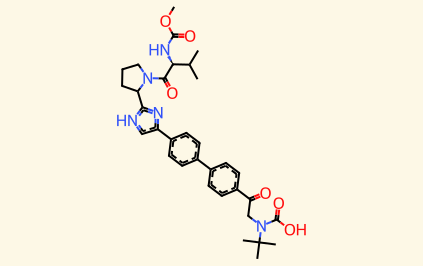 COC(=O)N[C@H](C(=O)N1CCCC1c1nc(-c2ccc(-c3ccc(C(=O)CN(C(=O)O)C(C)(C)C)cc3)cc2)c[nH]1)C(C)C